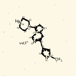 Cl.Cn1cc(-c2cc3ncc(N4CCNCC4)n3cn2)cn1